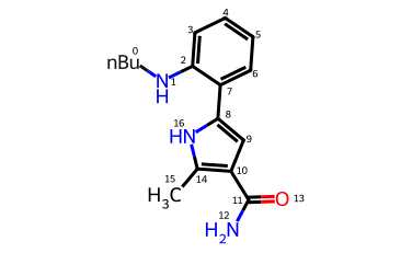 CCCCNc1ccccc1-c1cc(C(N)=O)c(C)[nH]1